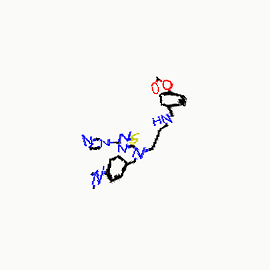 CN(C)c1ccc(CN(CCCNCc2ccc3c(c2)OCO3)c2nc(-n3ccnc3)ns2)cc1